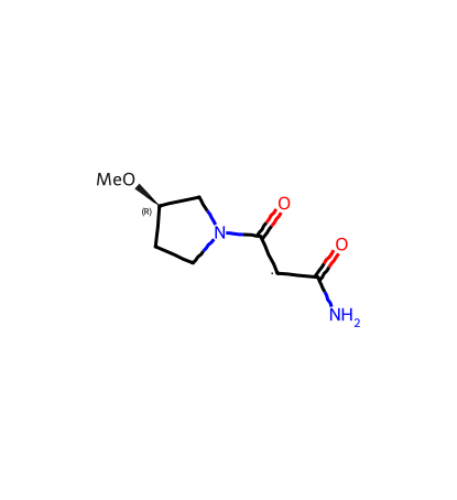 CO[C@@H]1CCN(C(=O)[CH]C(N)=O)C1